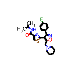 CC(C)NC(=O)c1csc(-c2c(-c3ccc(F)cc3)noc2CN2CCCCC2)n1